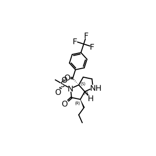 CCC[C@H]1C(=O)N(S(C)(=O)=O)[C@@]2(C(=O)c3ccc(C(F)(F)F)cc3)CCN[C@H]12